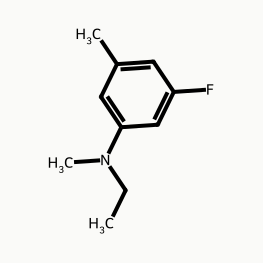 CCN(C)c1cc(C)cc(F)c1